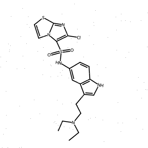 CCN(CC)CCc1c[nH]c2ccc(NS(=O)(=O)c3c(Cl)nc4sccn34)cc12